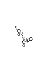 O=Cc1ccc(OCCCOc2ccc(Cl)cc2-n2nc3ccccc3n2)c(Cl)c1